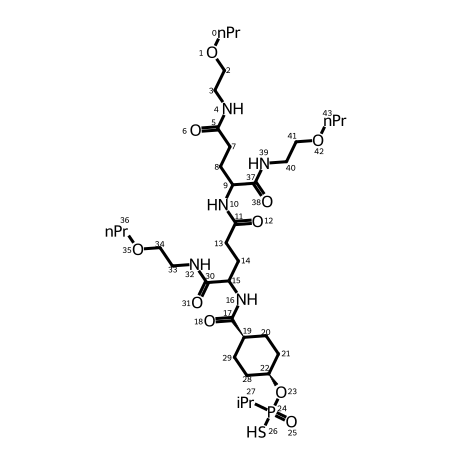 CCCOCCNC(=O)CCC(NC(=O)CCC(NC(=O)[C@H]1CC[C@@H](OP(=O)(S)C(C)C)CC1)C(=O)NCCOCCC)C(=O)NCCOCCC